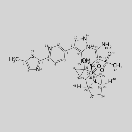 Cc1cnc(-c2ccc(-c3cnn4c(N)c(S(C)(=O)=O)c([C@H]5C[C@H]6CC[C@@H](C5)N6C(=O)C5(O)CC5)nc34)cn2)s1